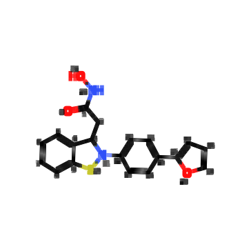 O=C(CC1c2ccccc2SN1c1ccc(-c2ccco2)cc1)NO